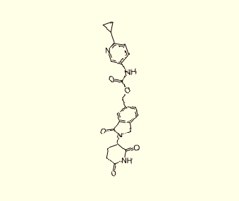 O=C1CCC(N2Cc3ccc(COC(=O)Nc4ccc(C5CC5)nc4)cc3C2=O)C(=O)N1